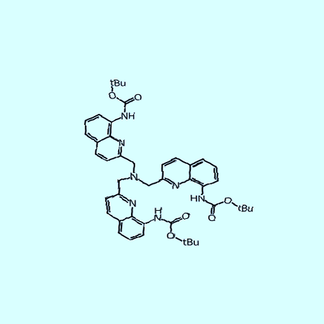 CC(C)(C)OC(=O)Nc1cccc2ccc(CN(Cc3ccc4cccc(NC(=O)OC(C)(C)C)c4n3)Cc3ccc4cccc(NC(=O)OC(C)(C)C)c4n3)nc12